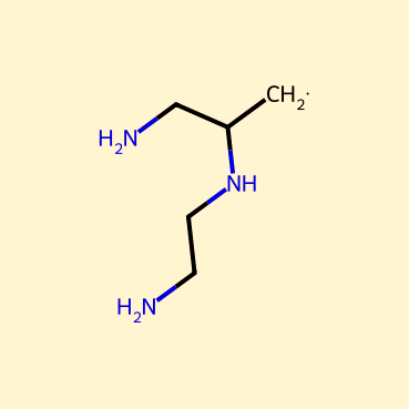 [CH2]C(CN)NCCN